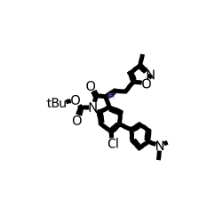 Cc1cc(C/C=C2/C(=O)N(C(=O)OC(C)(C)C)c3cc(Cl)c(-c4ccc(N(C)C)cc4)cc32)on1